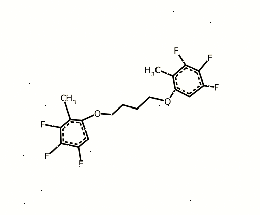 Cc1c(OCCCCOc2cc(F)c(F)c(F)c2C)cc(F)c(F)c1F